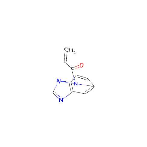 C=CC(=O)N1c2ccc3c(c2)ncn31